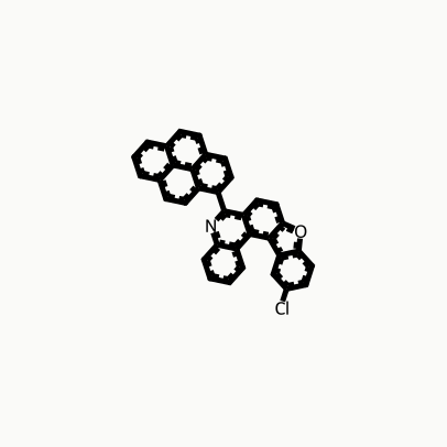 Clc1ccc2oc3ccc4c(-c5ccc6ccc7cccc8ccc5c6c78)nc5ccccc5c4c3c2c1